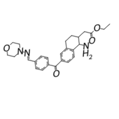 CCOC(=O)CC1CCc2cc(C(=O)c3ccc(C=NN4CCOCC4)cc3)ccc2C1N